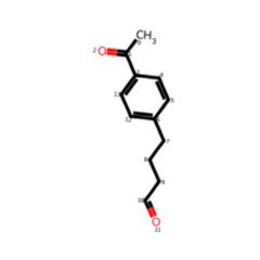 CC(=O)c1ccc(CCCC=O)cc1